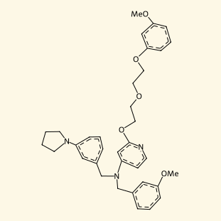 COc1cccc(CN(Cc2cccc(N3CCCC3)c2)c2ccnc(OCCOCCOc3cccc(OC)c3)c2)c1